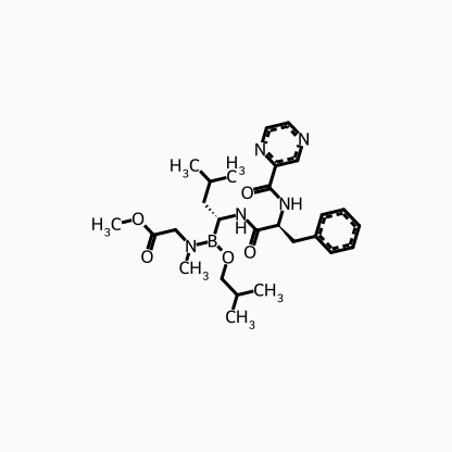 COC(=O)CN(C)B(OCC(C)C)[C@H](CC(C)C)NC(=O)[C@H](Cc1ccccc1)NC(=O)c1cnccn1